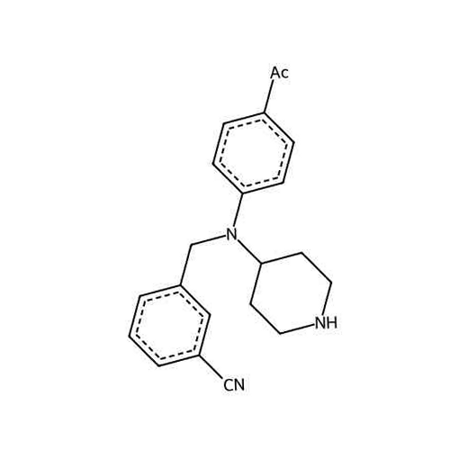 CC(=O)c1ccc(N(Cc2cccc(C#N)c2)C2CCNCC2)cc1